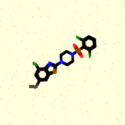 CCOC(=O)c1cc(Cl)c2nc(N3CCN(S(=O)(=O)c4c(F)cccc4F)CC3)sc2c1